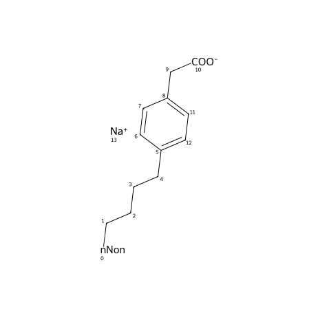 CCCCCCCCCCCCCc1ccc(CC(=O)[O-])cc1.[Na+]